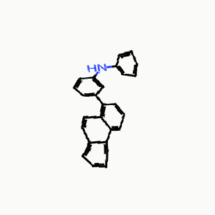 c1ccc(Nc2cccc(-c3cccc4c3ccc3ccccc34)c2)cc1